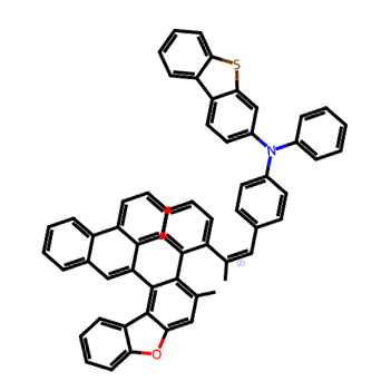 C/C(=C/c1ccc(N(c2ccccc2)c2ccc3c(c2)sc2ccccc23)cc1)c1ccccc1-c1c(C)cc2oc3ccccc3c2c1-c1cc2ccccc2c2ccccc12